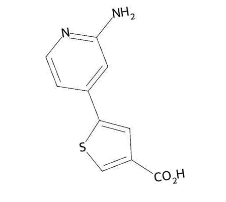 Nc1cc(-c2cc(C(=O)O)cs2)ccn1